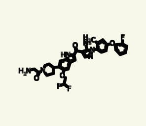 Cc1cc(Oc2ccccc2F)ccc1-n1ncc(C(=O)c2cc3cc(OCC(F)F)c(C4CCN(C(=O)CN)CC4)cc3[nH]2)c1N